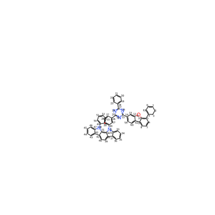 C1=CCCC(c2cccc3c2oc2cc(-c4nc(-c5ccccc5)nc(-c5cccc(-n6c7ccccc7c7ccc8c9ccccc9n(-c9ccccc9)c8c76)c5)n4)ccc23)=C1